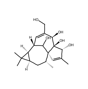 CC1=C[C@]23C(O)[C@@H](C=C(CO)[C@@H](O)[C@]2(O)[C@@H]1O)[C@H]1[C@@H](C[C@H]3C)C1(C)C